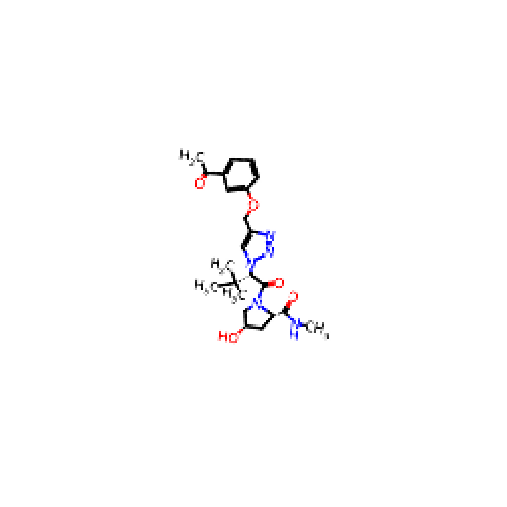 CNC(=O)[C@@H]1C[C@@H](O)CN1C(=O)[C@@H](n1cc(COc2cccc(C(C)=O)c2)nn1)C(C)(C)C